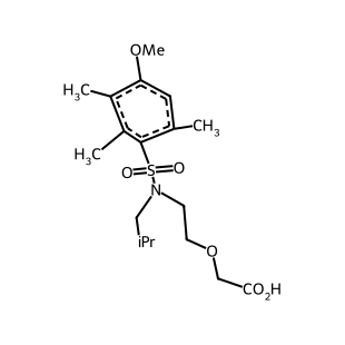 COc1cc(C)c(S(=O)(=O)N(CCOCC(=O)O)CC(C)C)c(C)c1C